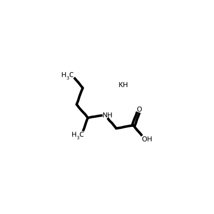 CCCC(C)NCC(=O)O.[KH]